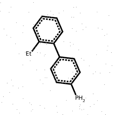 CCc1ccccc1-c1ccc(P)cc1